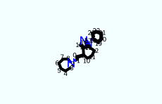 C(/CN1CCCCCC1)=C1/CCCc2c1cnn2-c1ccccc1